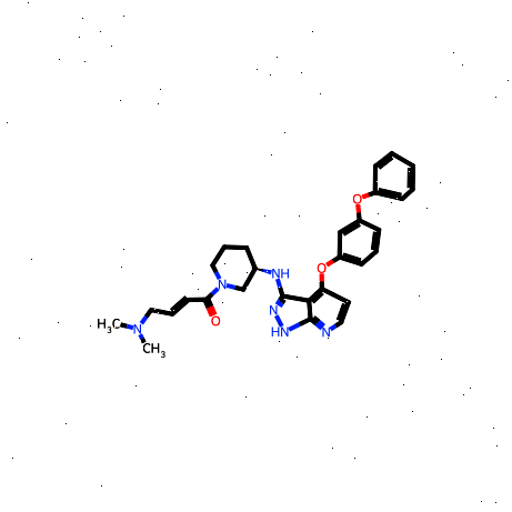 CN(C)CC=CC(=O)N1CCC[C@@H](Nc2n[nH]c3nccc(Oc4cccc(Oc5ccccc5)c4)c23)C1